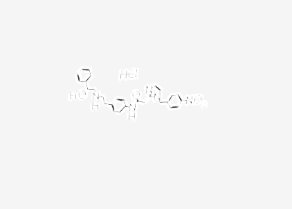 Cl.O=C(Cc1nccn1Cc1ccc([N+](=O)[O-])cc1)Nc1ccc(CCNCC(O)c2ccccc2)cc1